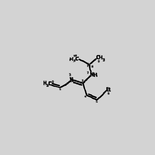 C=C/N=C(\C=C/CC)NN(C)C